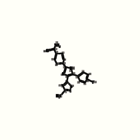 Cc1csc(-c2nc(-c3ccc(C(N)=O)cc3)[nH]c2-c2ccc(F)cc2)n1